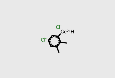 Cc1ccc[c]([GeH+2])c1C.[Cl-].[Cl-]